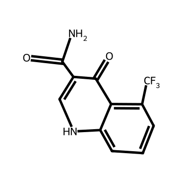 NC(=O)c1c[nH]c2cccc(C(F)(F)F)c2c1=O